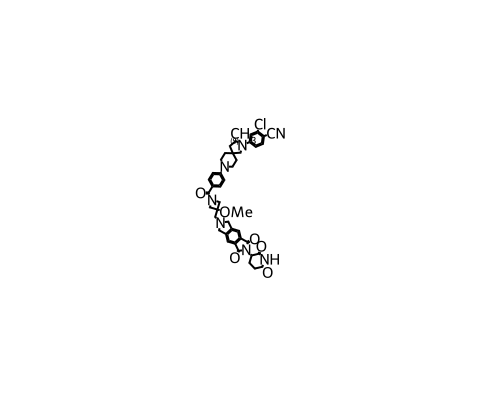 COC1(CN2Cc3cc4c(cc3C2)C(=O)N(C2CCC(=O)NC2=O)C4=O)CN(C(=O)c2ccc(N3CCC4(CC3)C[C@H](C)N(c3ccc(C#N)c(Cl)c3)C4)cc2)C1